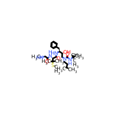 CNCC(=O)N[C@H](C(=O)N[C@@H](Cc1ccccc1)[C@H](O)CN(CCC(C)C)C(=O)NC(C)(C)C)C(C)(C)SC